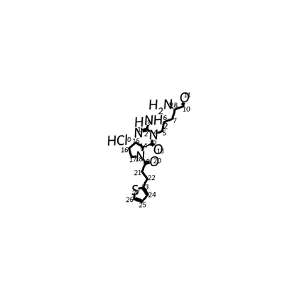 Cl.N=C(N)N(CCC[C@H](N)C=O)C(=O)[C@@H]1CCCN1C(=O)CCc1cccs1